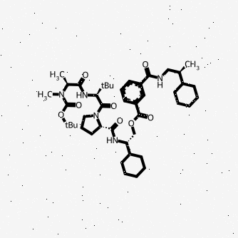 C[C@H](CNC(=O)c1cccc(C(=O)OC[C@@H](NC(=O)[C@@H]2CCCN2C(=O)[C@@H](NC(=O)[C@H](C)N(C)C(=O)OC(C)(C)C)C(C)(C)C)C2CCCCC2)c1)C1CCCCC1